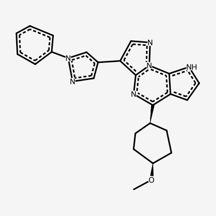 CO[C@H]1CC[C@@H](c2nc3c(-c4cnn(-c5ccccc5)c4)cnn3c3[nH]ccc32)CC1